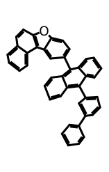 c1ccc(-c2cccc(-c3c4ccccc4c(-c4ccc5oc6ccc7ccccc7c6c5c4)c4ccccc34)c2)cc1